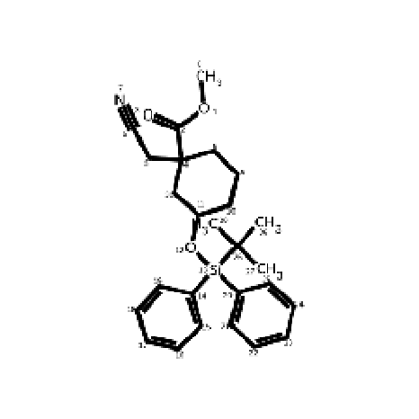 COC(=O)C1(CC#N)CCCC(O[Si](c2ccccc2)(c2ccccc2)C(C)(C)C)C1